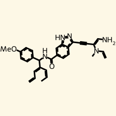 C=C/C=C(\C=C/C)C(NC(=O)c1ccc2c(C#C/C(=C/N)N(C)C=C)n[nH]c2c1)c1ccc(OC)cc1